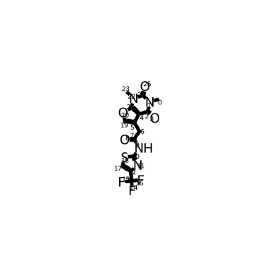 Cn1c(=O)c2c(CC(=O)Nc3nc(C(F)(F)F)cs3)coc2n(C)c1=O